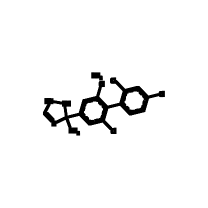 N.NC1(c2cc(Cl)c(-c3ccc(Cl)cc3Cl)c(Cl)c2)N=CNN1